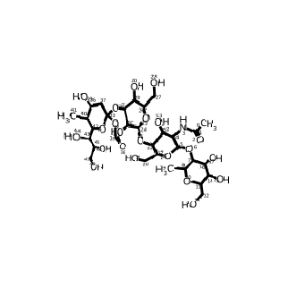 CC(=O)NC1C(OC2C(C)OC(CO)C(O)C2O)OC(CO)C(OC2OC(CO)C(O)C(OC3(OC=O)CC(O)C(C)C([C@H](O)C(O)CO)O3)C2O)C1O